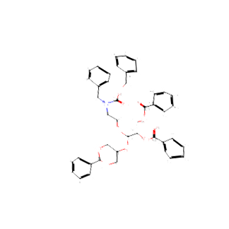 C[C@@H]1OC(c2ccccc2)OCC1O[C@@H](OCCN(Cc1ccccc1)C(=O)OCc1ccccc1)[C@H](COC(=O)c1ccccc1)OC(=O)c1ccccc1